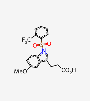 COc1ccc2c(c1)c(CCC(=O)O)cn2S(=O)(=O)c1ccccc1C(F)(F)F